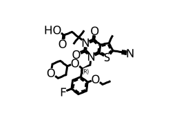 CCOc1ccc(F)cc1[C@H](Cn1c(=O)n(C(C)(C)CC(=O)O)c(=O)c2c(C)c(C#N)sc21)OC1CCOCC1